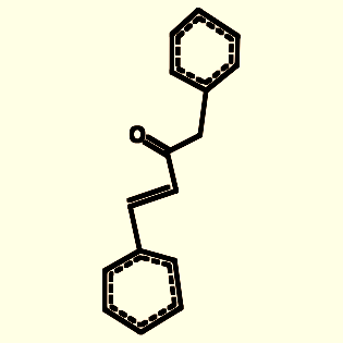 O=C(C=Cc1ccccc1)Cc1ccccc1